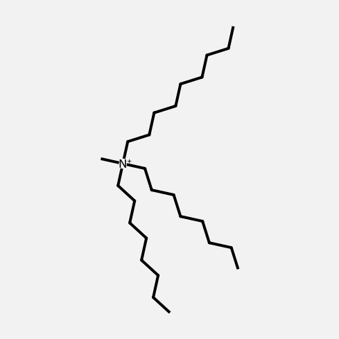 CCCCCCCCC[N+](C)(CCCCCCCC)CCCCCCCC